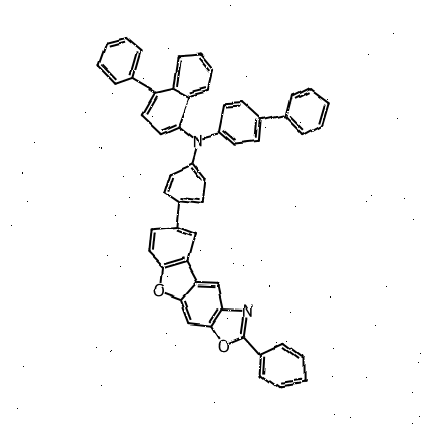 c1ccc(-c2ccc(N(c3ccc(-c4ccc5oc6cc7oc(-c8ccccc8)nc7cc6c5c4)cc3)c3ccc(-c4ccccc4)c4ccccc34)cc2)cc1